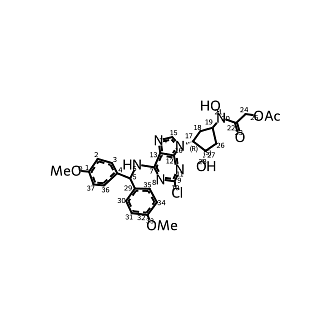 COc1ccc(C(Nc2nc(Cl)nc3c2ncn3[C@@H]2CC(N(O)C(=O)COC(C)=O)C[C@@H]2O)c2ccc(OC)cc2)cc1